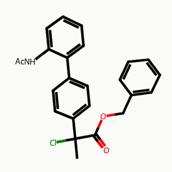 CC(=O)Nc1ccccc1-c1ccc(C(C)(Cl)C(=O)OCc2ccccc2)cc1